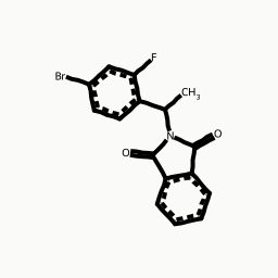 CC(c1ccc(Br)cc1F)N1C(=O)c2ccccc2C1=O